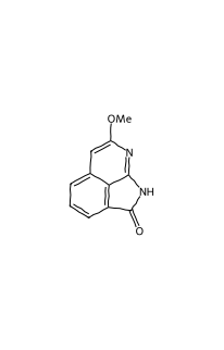 COc1cc2cccc3c2c(n1)NC3=O